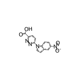 O=C(O)c1ccc(-n2ccc3cc([N+](=O)[O-])ccc32)nn1